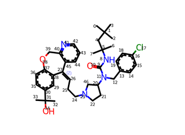 CC(C)(C)CC(C)(C)NC(=O)N(Cc1ccc(Cl)cc1)C1CCN(CC/C=C2\c3cc(C(C)(C)O)ccc3OCc3ncccc32)C1